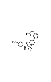 Cc1ccc(NC(=O)C2(N3CCC(c4ccnc5ccc(F)cc45)CC3)CCC2)cn1